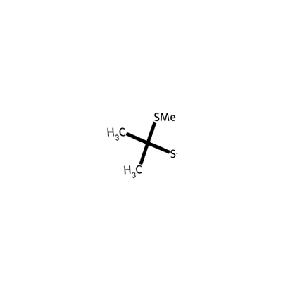 CSC(C)(C)[S]